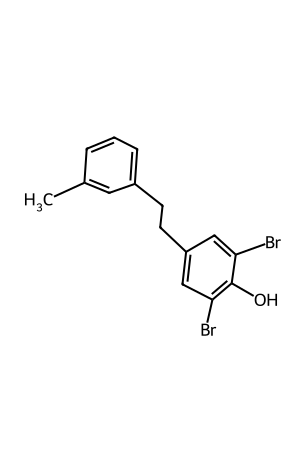 Cc1cccc(CCc2cc(Br)c(O)c(Br)c2)c1